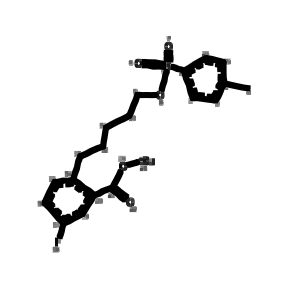 Cc1ccc(S(=O)(=O)OCCCCCc2ccc(F)cc2C(=O)OC(C)(C)C)cc1